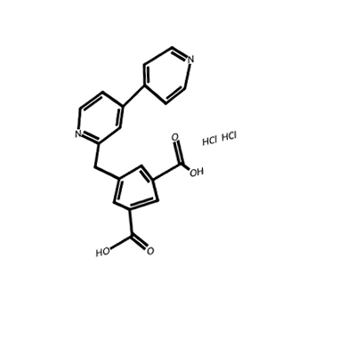 Cl.Cl.O=C(O)c1cc(Cc2cc(-c3ccncc3)ccn2)cc(C(=O)O)c1